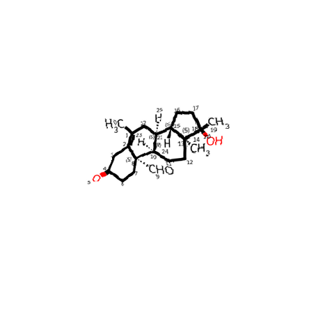 CC1=C2CC(=O)CC[C@]2(C=O)[C@@H]2CC[C@@]3(C)[C@@H](CCC3(C)O)[C@@H]2C1